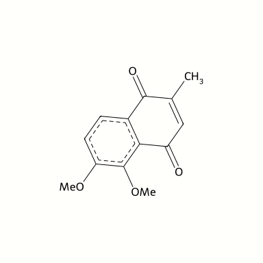 COc1ccc2c(c1OC)C(=O)C=C(C)C2=O